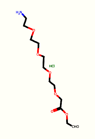 Cl.NCCOCCOCCOCCOCC(=O)OCC=O